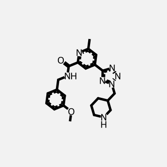 COc1cccc(CNC(=O)c2cc(-c3nnn(CC4CCCNC4)n3)cc(C)n2)c1